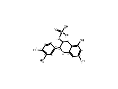 O=P(O)(O)OC1Cc2c(O)cc(O)cc2OC1c1ccc(O)c(O)c1